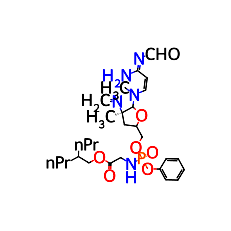 C=N[C@]1(C)CC(COP(=O)(NCC(=O)OCC(CCC)CCC)Oc2ccccc2)OC1N(C)/C=C\C(N)=N/C=O